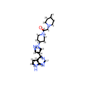 CC1CCN(CC(=O)N2CCC(n3cc(-c4ncnc5[nH]ccc45)cn3)CC2)CC1